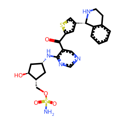 NS(=O)(=O)OC[C@H]1C[C@@H](Nc2ncncc2C(=O)c2cc([C@@H]3NCCc4ccccc43)cs2)C[C@@H]1O